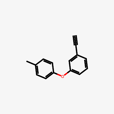 C#Cc1cccc(Oc2ccc(C)cc2)c1